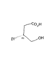 CC[C@@H](CO)CC(=O)O